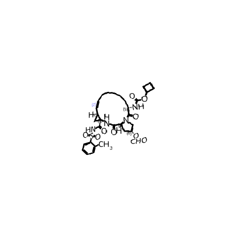 Cc1ccccc1S(=O)(=O)NC(=O)[C@@]12C[C@H]1/C=C\CCCCC[C@H](NC(=O)OC1CCC1)C(=O)N1C[C@H](OC=O)C[C@H]1C(=O)N2